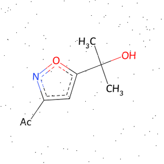 CC(=O)c1cc(C(C)(C)O)on1